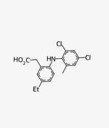 CCc1ccc(Nc2c(C)cc(Cl)cc2Cl)c(CC(=O)O)c1